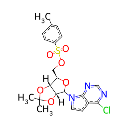 Cc1ccc(S(=O)(=O)OC[C@H]2OC(n3ccc4c(Cl)ncnc43)[C@@H]3OC(C)(C)O[C@H]23)cc1